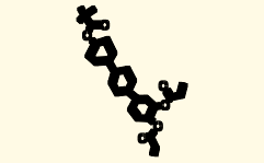 C=CC(=O)Oc1ccc(-c2ccc(-c3ccc(OC(=O)C(C)(C)C)cc3)cc2)cc1OC(=O)C=C